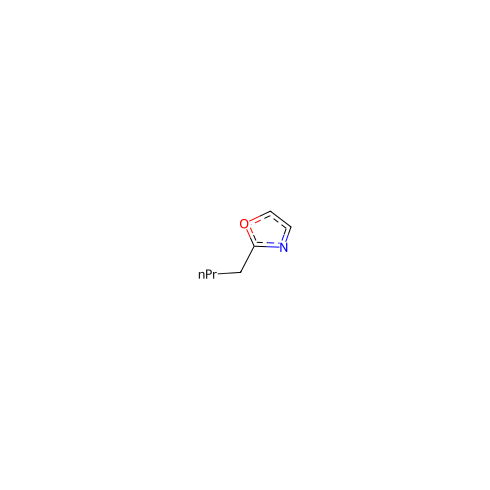 CCCCc1ncco1